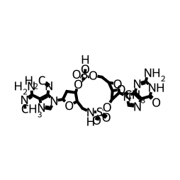 C=Nc1c(/C(N)=N\C)ncn1C1CC2OP(=O)(O)OCC3OC(n4cnc5c(=O)[nH]c(N)nc54)C(OS(=O)(=O)NCC2O1)C3OC